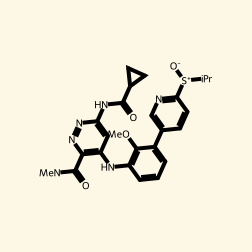 CNC(=O)c1nnc(NC(=O)C2CC2)cc1Nc1cccc(-c2ccc([S+]([O-])C(C)C)nc2)c1OC